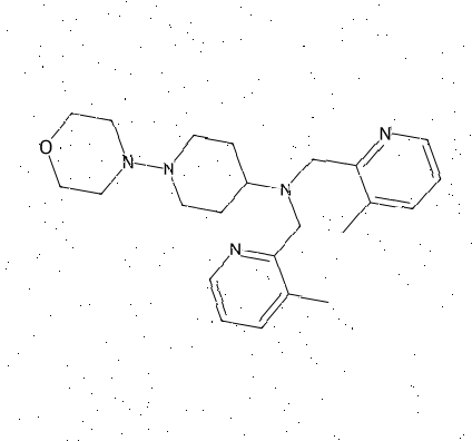 Cc1cccnc1CN(Cc1ncccc1C)C1CCN(N2CCOCC2)CC1